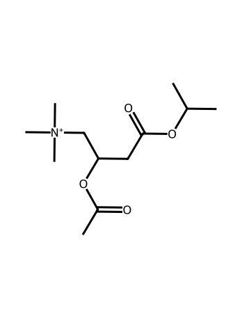 CC(=O)OC(CC(=O)OC(C)C)C[N+](C)(C)C